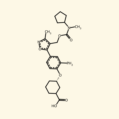 Cc1noc(-c2ccc(O[C@H]3CCCC(C(=O)O)C3)c(P)c2)c1COC(=O)N(C)C1CCCC1